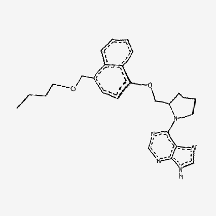 CCCCOCc1ccc(OCC2CCCN2c2ncnc3[nH]cnc23)c2ccccc12